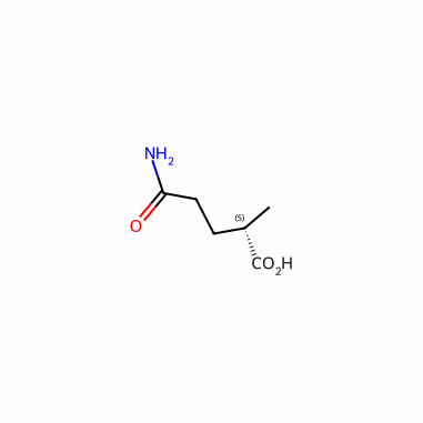 C[C@@H](CCC(N)=O)C(=O)O